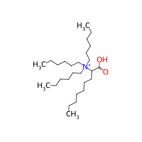 CCCCCCCC(C(=O)O)[N+](CCCCCC)(CCCCCC)CCCCCC